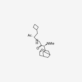 CN[C@H](C(=O)CN[C@@H](CC1CCC1)C(C)=O)C12CC3CC(CC(C3)C1)C2